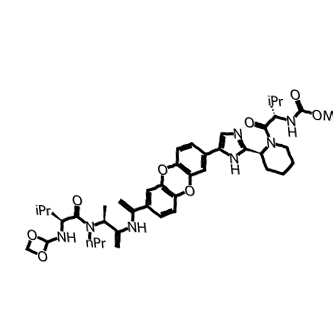 C=C(NC(=C)[C@H](C)N(CCC)C(=O)[C@@H](NC1OCO1)C(C)C)c1ccc2c(c1)Oc1ccc(-c3cnc([C@@H]4CCCCN4C(=O)[C@@H](NC(=O)OC)C(C)C)[nH]3)cc1O2